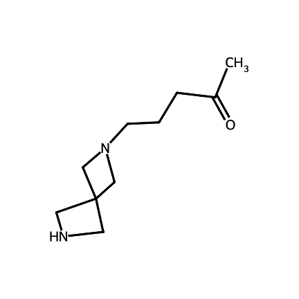 CC(=O)CCCN1CC2(CNC2)C1